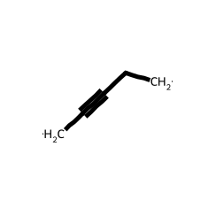 [CH2]C#CC[CH2]